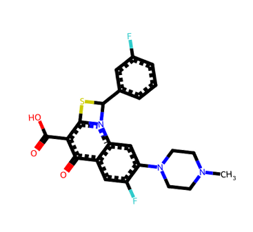 CN1CCN(c2cc3c(cc2F)c(=O)c(C(=O)O)c2n3C(c3cccc(F)c3)S2)CC1